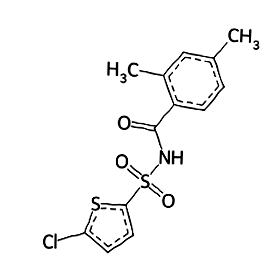 Cc1ccc(C(=O)NS(=O)(=O)c2ccc(Cl)s2)c(C)c1